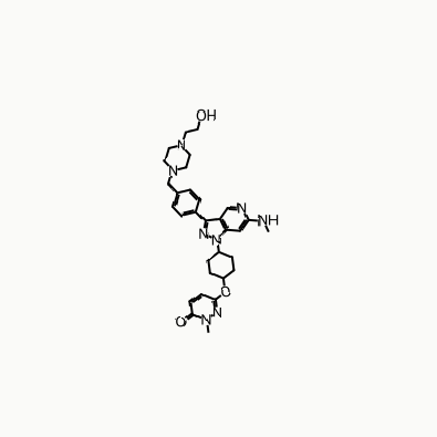 CNc1cc2c(cn1)c(-c1ccc(CN3CCN(CCO)CC3)cc1)nn2C1CCC(Oc2ccc(=O)n(C)n2)CC1